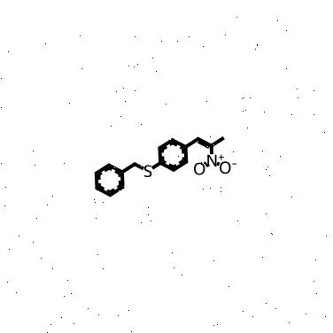 CC(=Cc1ccc(SCc2ccccc2)cc1)[N+](=O)[O-]